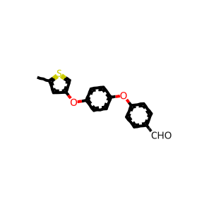 Cc1cc(Oc2ccc(Oc3ccc(C=O)cc3)cc2)cs1